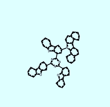 c1ccc2c(c1)ccc1c2c2ccc3ccccc3c2n1-c1cc(-c2nc(-c3ccc4c(c3)oc3ccccc34)nc(-c3cccc4c3oc3ccccc34)n2)c2sc3ccccc3c2c1